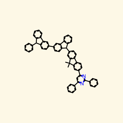 CC1(C)c2cc(-c3cc(-c4ccccc4)nc(-c4ccccc4)n3)ccc2-c2ccc(C3c4ccccc4-c4cc(-c5ccc6c(c5)-c5ccccc5C6c5ccccc5)ccc43)cc21